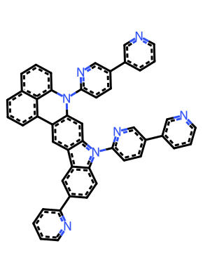 c1ccc(-c2ccc3c(c2)c2cc4c(cc2n3-c2ccc(-c3cccnc3)cn2)N(c2ccc(-c3cccnc3)cn2)c2cccc3cccc-4c23)nc1